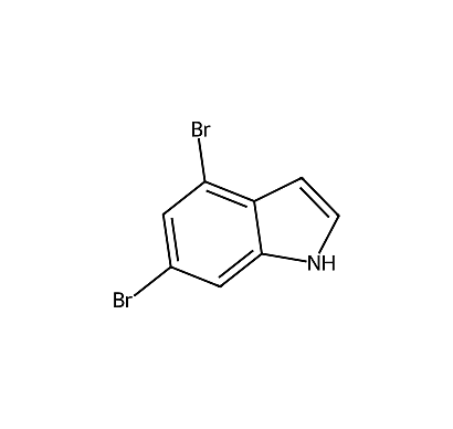 Brc1cc(Br)c2cc[nH]c2c1